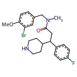 COc1ccc(CN(C)C(=O)CC(c2ccc(F)cc2)C2CCNCC2)cc1Br